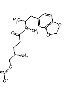 CC(Cc1ccc2c(c1)OCO2)N(C)C(=O)CCC(N)CO[N+](=O)[O-]